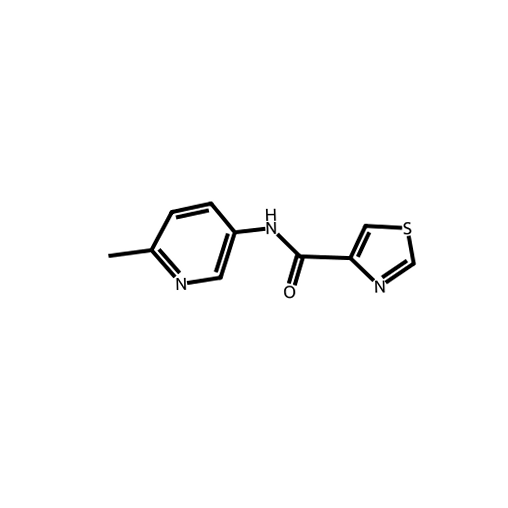 Cc1ccc(NC(=O)c2cscn2)cn1